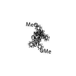 COc1ccc(N(C)C(=O)[C@H](Cc2ccccc2)NC(=O)c2nc[nH]c2C(=O)N[C@@H](Cc2ccccc2)C(=O)N(C)c2ccc(OC)cc2)cc1